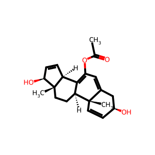 CC(=O)OC1=C2[C@@H]3C=C[C@H](O)[C@@]3(C)CC[C@@H]2[C@@]2(C)C=C[C@H](O)CC2=C1